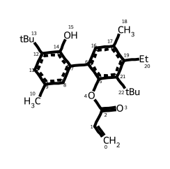 C=CC(=O)Oc1c(-c2cc(C)cc(C(C)(C)C)c2O)cc(C)c(CC)c1C(C)(C)C